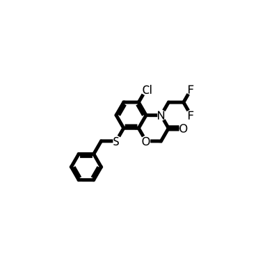 O=C1COc2c(SCc3ccccc3)ccc(Cl)c2N1CC(F)F